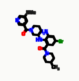 CNc1cncc(C(=O)N2CCC[C@@H](NC3=C(C(=O)N4CCC(C)CC4)CC(Br)C=C3N)C2)c1